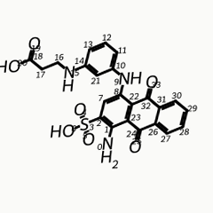 Nc1c(S(=O)(=O)O)cc(Nc2cccc(NCCC(=O)O)c2)c2c1C(=O)c1ccccc1C2=O